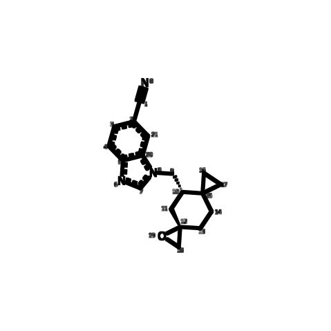 N#Cc1ccc2ncn(C[C@H]3C[C@@]4(CCC35CC5)CO4)c2c1